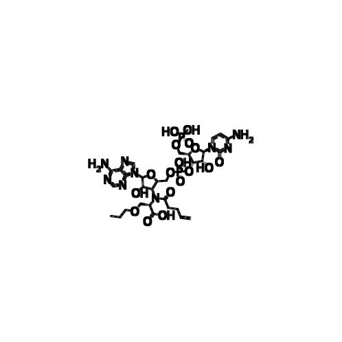 C=CCCC(=O)N(C1C(COP(=O)(O)O[C@H]2[C@@H](O)[C@H](n3ccc(N)nc3=O)O[C@@H]2COP(=O)(O)O)OC(n2cnc3c(N)ncnc32)C1O)[C@H](COCCC)C(=O)O